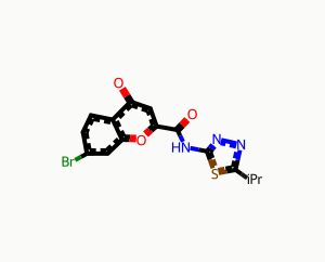 CC(C)c1nnc(NC(=O)c2cc(=O)c3ccc(Br)cc3o2)s1